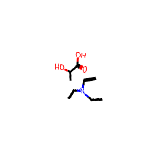 CC(O)C(=O)O.CCN(CC)CC